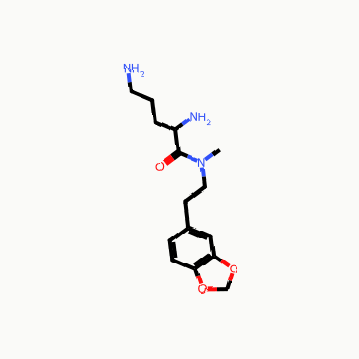 CN(CCc1ccc2c(c1)OCO2)C(=O)C(N)CCCN